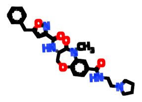 CN1C(=O)[C@@H](NC(=O)c2cc(Cc3ccccc3)on2)COc2ccc(C(=O)NCCN3CCCC3)cc21